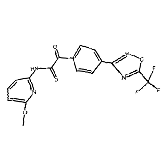 COc1cccc(NC(=O)C(=O)c2ccc(-c3noc(C(F)(F)F)n3)cc2)n1